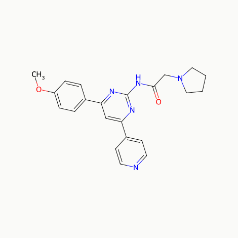 COc1ccc(-c2cc(-c3ccncc3)nc(NC(=O)CN3CCCC3)n2)cc1